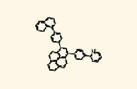 c1ccc(-c2ccc(-c3cc(-c4ccc(-c5cccc6ccccc56)cc4)c4ccc5cccc6ccc3c4c65)cc2)nc1